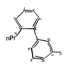 CCCc1ccccc1-c1cccc(C)c1